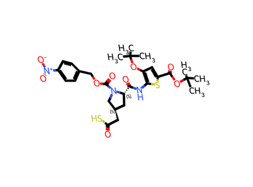 CC(C)(C)OC(=O)c1cc(OC(C)(C)C)c(NC(=O)[C@@H]2C[C@@H](CC(=O)S)CN2C(=O)OCc2ccc([N+](=O)[O-])cc2)s1